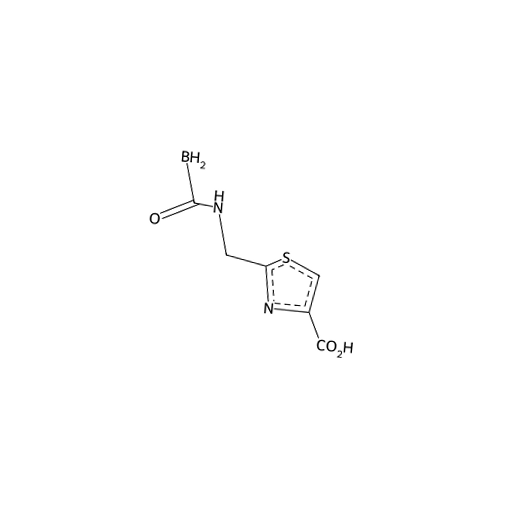 BC(=O)NCc1nc(C(=O)O)cs1